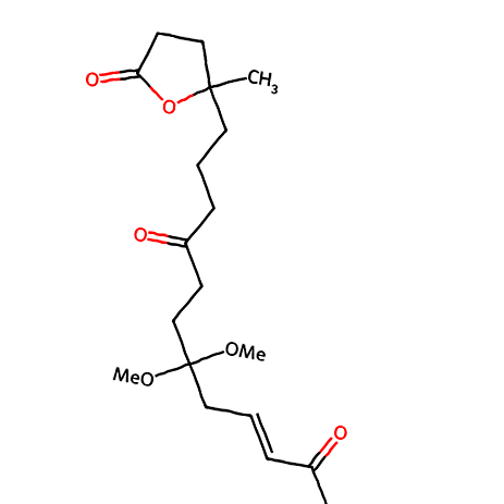 CCCCCC(=O)/C=C/CC(CCC(=O)CCCC1(C)CCC(=O)O1)(OC)OC